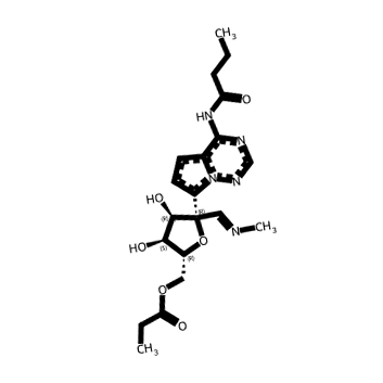 CCCC(=O)Nc1ncnn2c([C@]3(C=NC)O[C@H](COC(=O)CC)[C@@H](O)[C@H]3O)ccc12